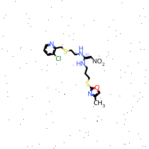 Cc1coc(SCCCN/C(=C\[N+](=O)[O-])NCCSCc2ncccc2Cl)n1